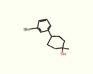 CC1(O)CC[C](c2cccc(C(C)(C)C)c2)CC1